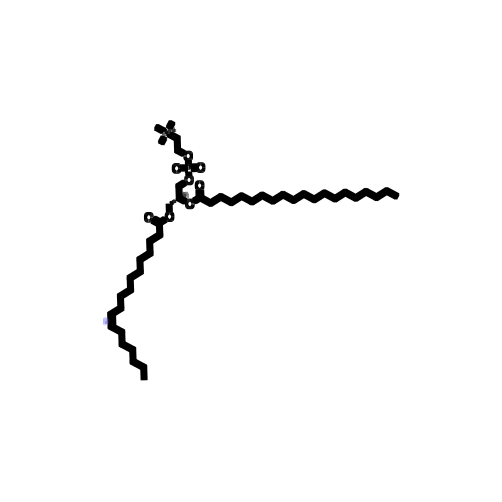 CCCCCC/C=C\CCCCCCCCCC(=O)OC[C@H](COP(=O)([O-])OCC[N+](C)(C)C)OC(=O)CCCCCCCCCCCCCCCCCCC